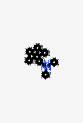 c1ccc(-c2nc(-c3ccccc3)nc(-c3ccc4c(c3)c3c5ccccc5c5cccc6c7cccc8c9ccccc9c4c(c87)c3c56)n2)cc1